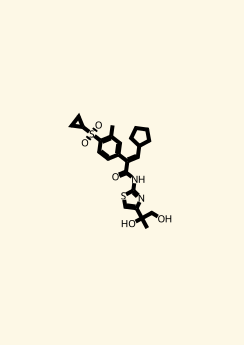 Cc1cc(/C(=C\C2CCCC2)C(=O)Nc2nc(C(C)(O)CO)cs2)ccc1S(=O)(=O)C1CC1